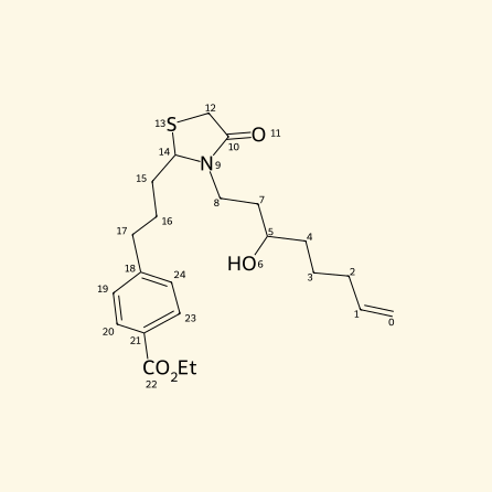 C=CCCCC(O)CCN1C(=O)CSC1CCCc1ccc(C(=O)OCC)cc1